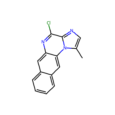 Cc1cnc2c(Cl)nc3cc4ccccc4cc3n12